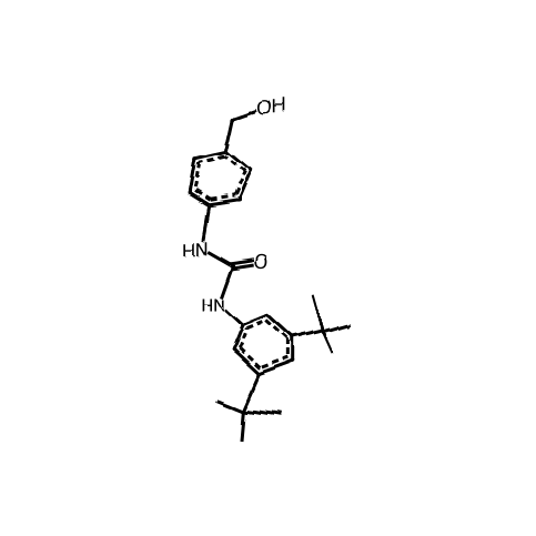 CC(C)(C)c1cc(NC(=O)Nc2ccc(CO)cc2)cc(C(C)(C)C)c1